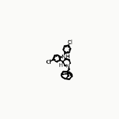 Clc1ccc(N2c3ccc(Cl)cc3[C@@H]3CN(CC45CC6CC(CC(C6)C4)C5)CC[C@H]32)cc1